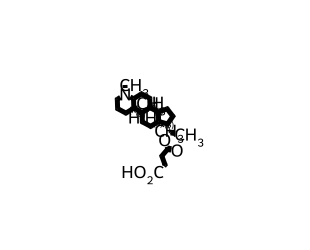 CC(OC(=O)CCC(=O)O)[C@H]1CC[C@H]2[C@@H]3CCC4N(C)CCC[C@]4(C)[C@H]3CC[C@]12C